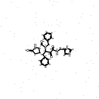 O=C1CC[C@@H](C(=O)N(Cc2ccccc2)C(Cc2ccccc2)C(=O)C(=O)NCc2cncs2)N1